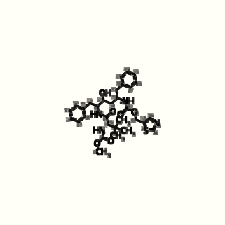 COC(=O)N[C@H](C(=O)NC(Cc1ccccc1)C(O)CC(Cc1ccccc1)NC(=O)OCc1cncs1)C(C)(C)C